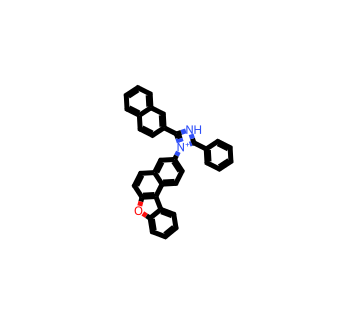 c1ccc(C2NC(c3ccc4ccccc4c3)=[N+]2c2ccc3c(ccc4oc5ccccc5c43)c2)cc1